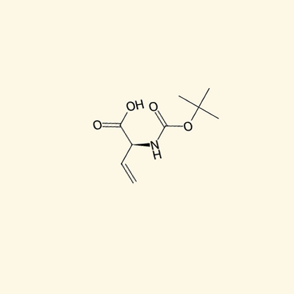 C=C[C@H](NC(=O)OC(C)(C)C)C(=O)O